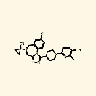 Cc1nc(N2CCC(c3nnc4n3-c3ccc(Cl)cc3CN(C3(C#N)CC3)C4)CC2)ccc1C#N